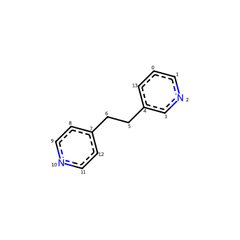 c1cncc(CCc2ccncc2)c1